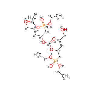 CCOP(=O)(CC(/C=C/CO)OC(=O)OC(/C=C/CO)CP(=O)(OCC)OCC)OCC